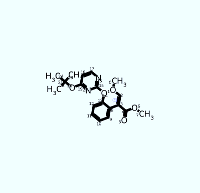 CO/C=C(/C(=O)OC)c1ccccc1Oc1nccc(OC(C)(C)C)n1